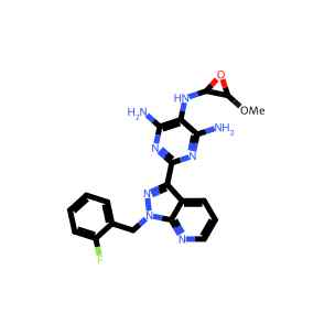 COC1OC1Nc1c(N)nc(-c2nn(Cc3ccccc3F)c3ncccc23)nc1N